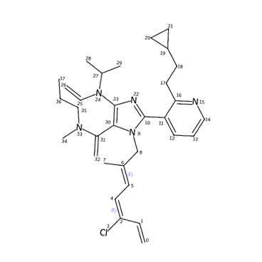 C=C/C(Cl)=C\C=C(/C)Cn1c(-c2cccnc2CCC2CC2)nc(N(C=C)C(C)C)c1C(=C)N(C)CCC